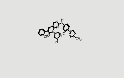 Cc1cc(Nc2ncc3cc(-c4ccccc4Cl)c(=O)n([C@H]4CCNC4)c3n2)ccc1N1CCN(C)CC1